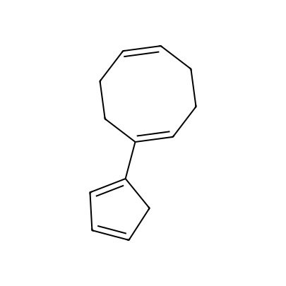 C1=CCC(C2=CCCC=CCC2)=C1